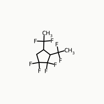 CC(F)(F)C1CC(F)(F)C(F)(F)C1C(C)(F)F